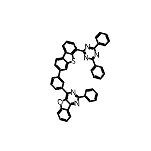 c1ccc(-c2nc(-c3ccccc3)nc(-c3cccc4c3sc3cc(-c5cccc(-c6nc(-c7ccccc7)nc7c6oc6ccccc67)c5)ccc34)n2)cc1